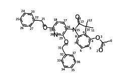 CC(=O)Oc1cccc2c1C(C)(C)C(=O)N2c1ccc(OCc2ccccc2)nc1OCc1ccccc1